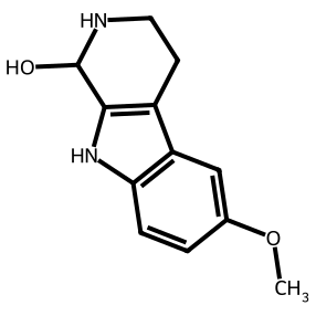 COc1ccc2[nH]c3c(c2c1)CCNC3O